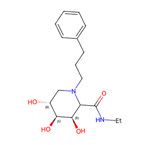 CCNC(=O)C1[C@@H](O)[C@@H](O)[C@H](O)CN1CCCc1ccccc1